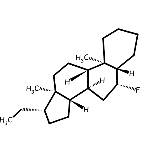 CC[C@H]1CC[C@H]2[C@@H]3C[C@@H](F)[C@H]4CCCC[C@]4(C)[C@H]3CC[C@]12C